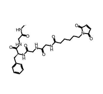 [CH2]NC(=O)CNC(=O)[C@H](Cc1ccccc1)NC(=O)CNC(=O)CNC(=O)CCCCCN1C(=O)C=CC1=O